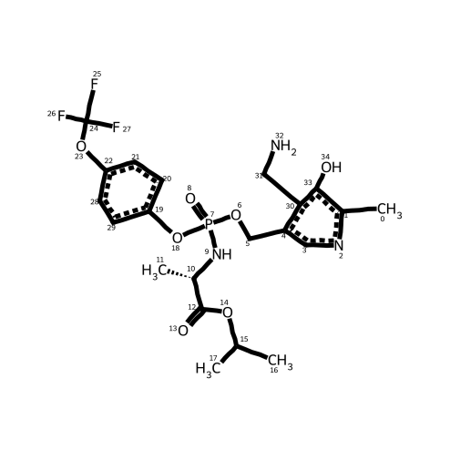 Cc1ncc(COP(=O)(N[C@@H](C)C(=O)OC(C)C)Oc2ccc(OC(F)(F)F)cc2)c(CN)c1O